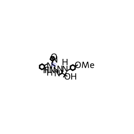 COc1ccc(CNc2nc(C(=N)/C=C(\NCc3ccccc3F)c3ccon3)ncc2C(C)(C)O)cc1